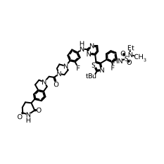 CCN(C)S(=O)(=O)Nc1cccc(-c2nc(C(C)(C)C)sc2-c2ccnc(Nc3ccc(N4CCN(C(=O)CN5CCc6cc(C7CCC(=O)NC7=O)ccc6C5)CC4)c(F)c3)n2)c1F